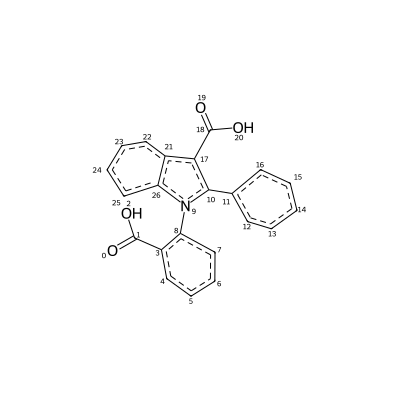 O=C(O)c1ccccc1-n1c(-c2ccccc2)c(C(=O)O)c2ccccc21